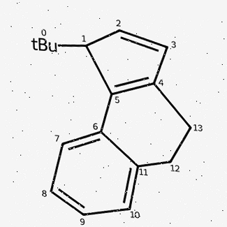 CC(C)(C)C1C=CC2=C1c1ccccc1CC2